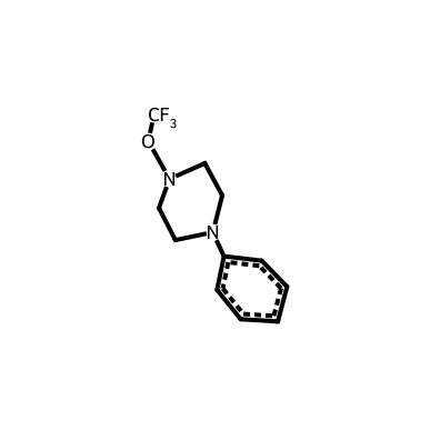 FC(F)(F)ON1CCN(c2ccccc2)CC1